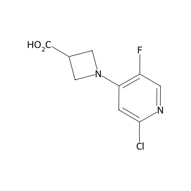 O=C(O)C1CN(c2cc(Cl)ncc2F)C1